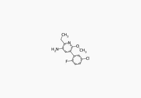 CCc1nc(OC)c(-c2cc(Cl)ccc2F)cc1N